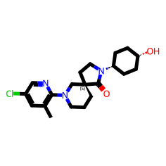 Cc1cc(Cl)cnc1N1CCC[C@]2(CCN([C@H]3CC[C@@H](O)CC3)C2=O)C1